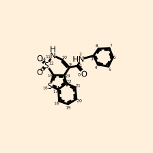 O=C(Nc1ccccc1)C1=CNS(=O)(=O)c2sc3ccccc3c21